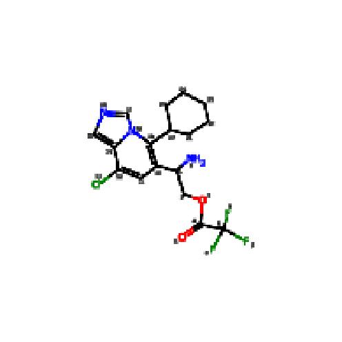 NC(COC(=O)C(F)(F)F)c1cc(Cl)c2cncn2c1C1CCCCC1